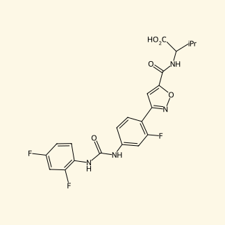 CC(C)C(NC(=O)c1cc(-c2ccc(NC(=O)Nc3ccc(F)cc3F)cc2F)no1)C(=O)O